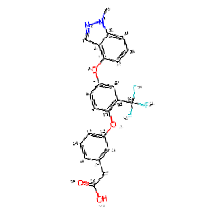 Cn1ncc2c(Oc3ccc(Oc4cccc(CC(=O)O)c4)c(C(F)(F)F)c3)cccc21